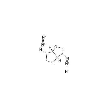 [N-]=[N+]=N[C@H]1CO[C@H]2[C@H]1OC[C@@H]2N=[N+]=[N-]